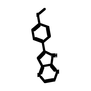 CSc1ccc(-c2cc3nccnc3[nH]2)cc1